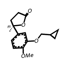 COc1ccc([C@@]2(C)CCC(=O)O2)cc1OCC1CC1